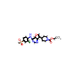 CS(=O)(=O)c1ccc(Nc2ncnc3c(C4CCN(C(=O)OCC(Cl)(Cl)Cl)CC4)coc23)c(F)c1